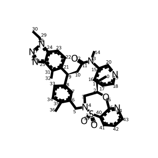 CC[C@@H]1CN(Cc2cc([C@H](CC(=O)N(C)c3cccnc3)c3ccc4c(nnn4CC)c3C)ccc2C)S(=O)(=O)c2cccnc2O1